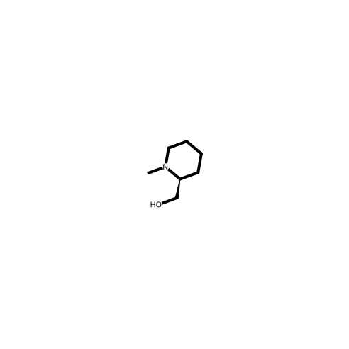 CN1CCCC[C@H]1CO